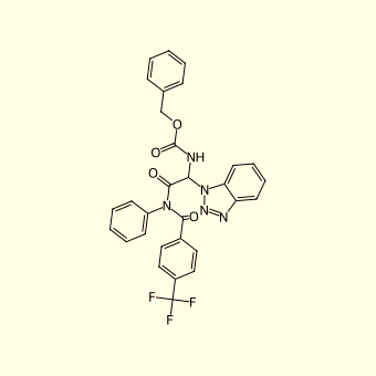 O=C(NC(C(=O)N(C(=O)c1ccc(C(F)(F)F)cc1)c1ccccc1)n1nnc2ccccc21)OCc1ccccc1